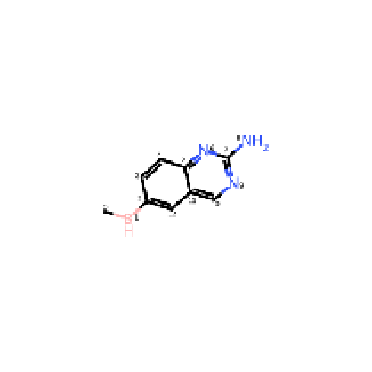 CBc1ccc2nc(N)ncc2c1